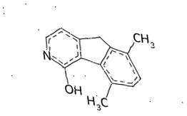 Cc1ccc(C)c2c1Cc1ccnc(O)c1-2